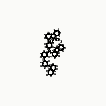 CC1(C)c2ccccc2-c2cccc(-c3ccc(N(c4cccc(-c5cccc(-c6cccc7ccccc67)c5)c4)c4cccc5c4sc4ccccc45)cc3)c21